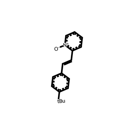 CC(C)(C)c1ccc(/C=C/c2cccc[n+]2[O-])cc1